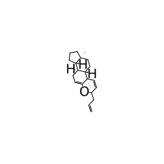 C=CCC1C=C[C@@]2(C)C(=CC[C@H]3[C@@H]4CCC[C@@]4(C)CC[C@@H]32)O1